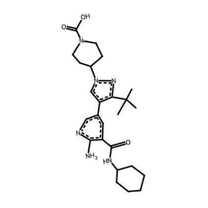 CC(C)(C)c1nn(C2CCN(C(=O)O)CC2)cc1-c1cnc(N)c(C(=O)NC2CCCCC2)c1